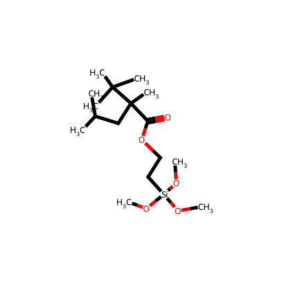 CO[Si](CCOC(=O)C(C)(CC(C)C)C(C)(C)C)(OC)OC